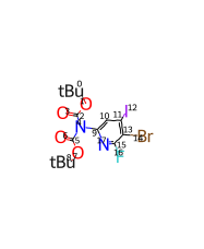 CC(C)(C)OC(=O)N(C(=O)OC(C)(C)C)c1cc(I)c(Br)c(F)n1